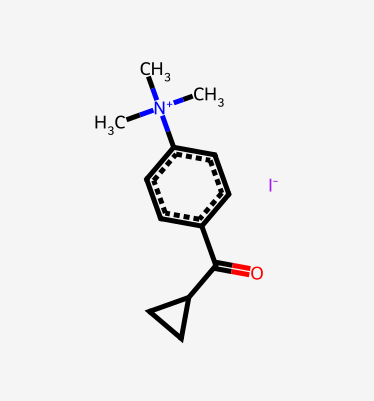 C[N+](C)(C)c1ccc(C(=O)C2CC2)cc1.[I-]